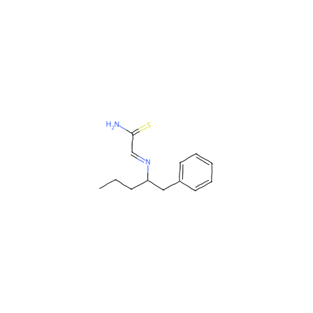 CCCC(Cc1ccccc1)N=CC(N)=S